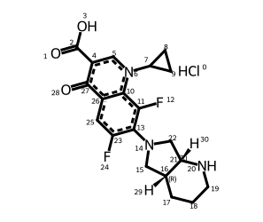 Cl.O=C(O)c1cn(C2CC2)c2c(F)c(N3C[C@H]4CCCN[C@H]4C3)c(F)cc2c1=O